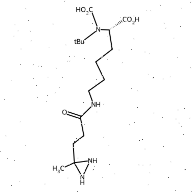 CC1(CCC(=O)NCCCC[C@@H](C(=O)O)N(C(=O)O)C(C)(C)C)NN1